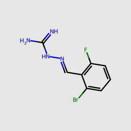 N=C(N)NN=Cc1c(F)cccc1Br